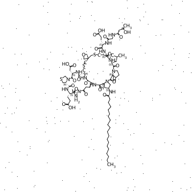 CCCCCCCCCCCCCCCCCCCC(=O)N[C@H]1C[C@H]2C(=O)N[C@@H](CCC(N)=O)C(=O)N[C@H](C(=O)N[C@@H](CC(=O)O)C(=O)N3CSC[C@H]3C(=O)N[C@@H](CCC(=O)O)C(N)=O)CSCC3(COC3)CSC[C@H](NC(=O)[C@H](CCC(=O)O)NC(=O)CNC(=O)C[C@@H](C)O)C(=O)N[C@@H](CC(C)C)C(=O)N3CCC[C@@H]3C(=O)N2C1